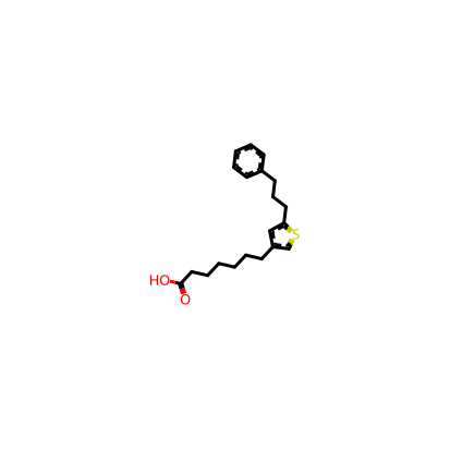 O=C(O)CCCCCCc1csc(CCCc2ccccc2)c1